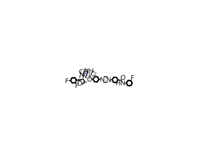 Cc1cc(N2CCN(c3ccc(C(=O)Nc4cccc(F)c4)cc3)CC2)ccc1OC[C@@H]1CO[C@@](CN(C)/N=C\N)(c2ccc(F)cc2F)C1